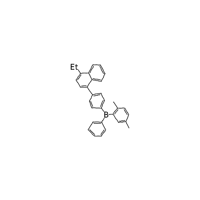 CCc1ccc(-c2ccc(B(c3ccccc3)c3cc(C)ccc3C)cc2)c2ccccc12